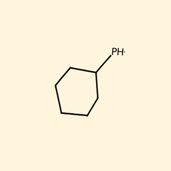 [PH]C1CCCCC1